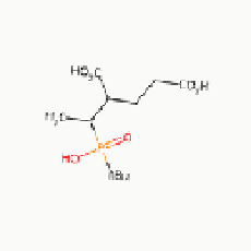 CCCCP(=O)(O)C(C)C(CCC(=O)O)C(=O)O